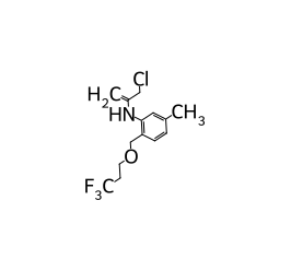 C=C(CCl)Nc1cc(C)ccc1COCCC(F)(F)F